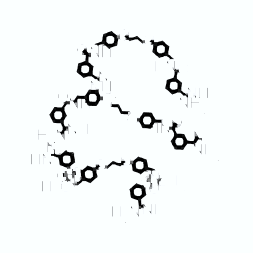 CN(Cc1ccc(OCCCOc2ccc(CN(C)S(=O)(=O)c3cccc(C(=N)N)c3)cc2)cc1)S(=O)(=O)c1cccc(C(=N)N)c1.N=C(N)c1cccc(C(=O)NCc2ccc(OCCCCOc3ccc(CNC(=O)c4cccc(C(=N)N)c4)cc3)cc2)c1.N=C(N)c1cccc(C(=O)NCc2ccc(OCCCOc3ccc(CNC(=O)c4cccc(C(=N)N)c4)cc3)cc2)c1